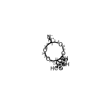 [N-]=[N+]=C1CCOCCOCCC(CP(=O)(O)O)(CP(=O)(O)O)CCOCCOCC1